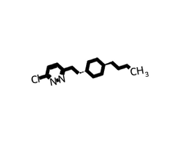 CCCC[C@H]1CC[C@H](CCc2ccc(Cl)nn2)CC1